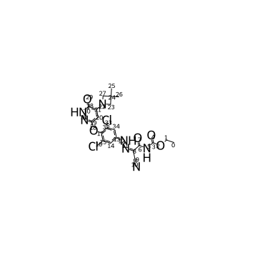 CCOC(=O)NC(=O)C(C#N)=NNc1cc(Cl)c(Oc2cc(N3CC(C)(C)C3)c(=O)[nH]n2)c(Cl)c1